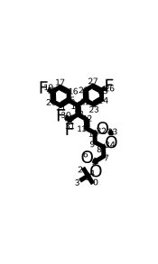 CC(C)(C)OC(=O)CC1CC(C=CC(=C(c2ccc(F)cc2)c2ccc(F)cc2)C(F)F)OCO1